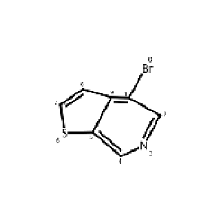 Brc1cncc2s[c]cc12